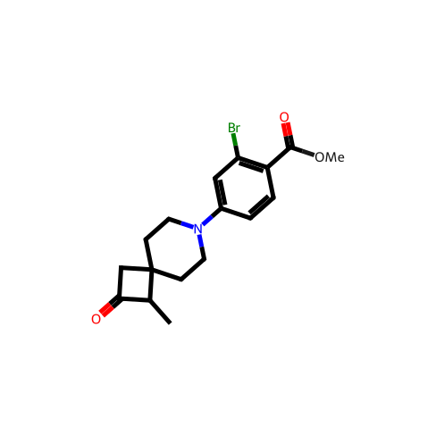 COC(=O)c1ccc(N2CCC3(CC2)CC(=O)C3C)cc1Br